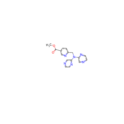 COC(=O)c1ccc(CN(c2cnccn2)c2cnccn2)nc1